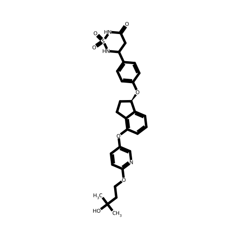 CC(C)(O)CCOc1ccc(Oc2cccc3c2CC[C@H]3Oc2ccc(C3CC(=O)NS(=O)(=O)N3)cc2)cn1